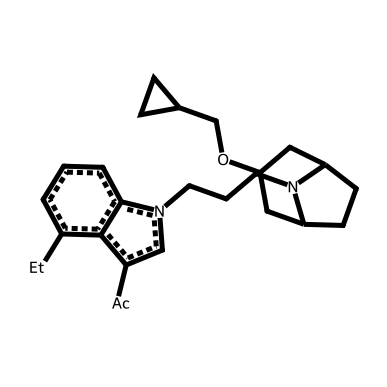 CCc1cccc2c1c(C(C)=O)cn2CCCN1C2CCC1CC(OCC1CC1)C2